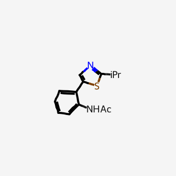 CC(=O)Nc1ccccc1-c1cnc(C(C)C)s1